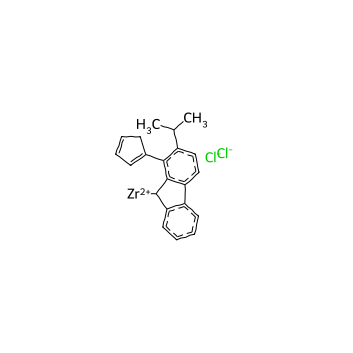 CC(C)c1ccc2c(c1C1=CC=CC1)[CH]([Zr+2])c1ccccc1-2.[Cl-].[Cl-]